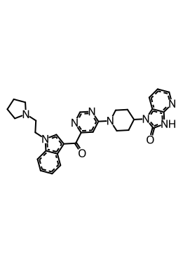 O=C(c1cc(N2CCC(n3c(=O)[nH]c4ncccc43)CC2)ncn1)c1cn(CCN2CCCC2)c2ccccc12